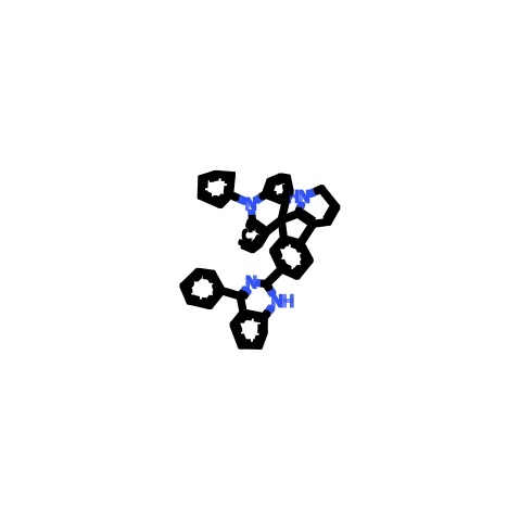 C1=CC2=C(NC1)C1(c3cc(C4N=C(c5ccccc5)c5ccccc5N4)ccc32)c2ccccc2N(c2ccccc2)c2ccccc21